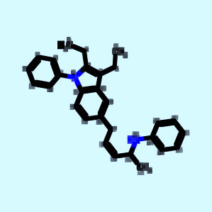 CCc1c(CC)n(-c2ccccc2)c2ccc(C/C=C\C(C)Nc3ccccc3)cc12